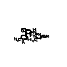 CNc1cc(C)nc(Nc2cc3c(c(C4=CCNC(C)CC4)c2F)OCC3)n1